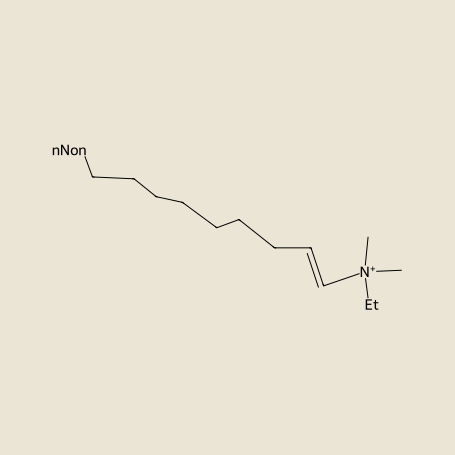 CCCCCCCCCCCCCCCC/C=C/[N+](C)(C)CC